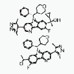 CC(=O)c1cc2c(cc1F)c1ncc(-c3c(C)nnn3C)cc1n2C(c1ccccc1)C1CCOCC1.Cc1nnn(C)c1-c1cnc2c3cc(F)c([C@@](C)(O)C4CC4)cc3n([C@H](c3ccccc3)C3CCOCC3)c2c1